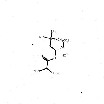 CCCCCCCCC(CCCCCC)C(=O)O[C@@H](CC(=O)O)C[N+](C)(C)C.Cl